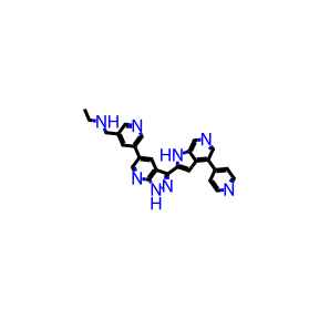 CCNCc1cncc(-c2cnc3[nH]nc(-c4cc5c(-c6ccncc6)cncc5[nH]4)c3c2)c1